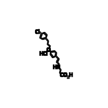 Cl.O=C(O)CCNCC=Cc1ccc(OCCCc2ccc(Cl)cc2)cc1